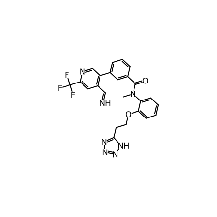 CN(C(=O)c1cccc(-c2cnc(C(F)(F)F)cc2C=N)c1)c1ccccc1OCCc1nnn[nH]1